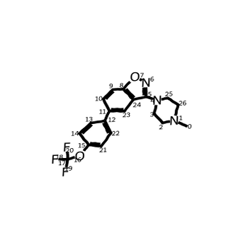 CN1CCN(c2noc3ccc(-c4ccc(OC(F)(F)F)cc4)cc23)CC1